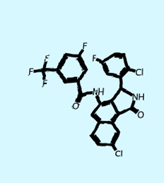 O=C(Nc1cc2ccc(Cl)cc2c2c1C(c1cc(F)ccc1Cl)NC2=O)c1cc(F)cc(C(F)(F)F)c1